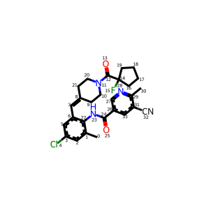 Cc1cc(Cl)cc(C=C2CCN(C(=O)C3(F)CCCC3)CC2)c1NC(=O)c1cnc(C)c(C#N)c1